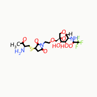 CC(=O)[C@@H](N)CSC1CC(=O)N(CCOC[C@@]23CO[C@@H](O2)[C@@H](NC(=O)C(F)(F)F)[C@@H](O)[C@H]3O)C1=O